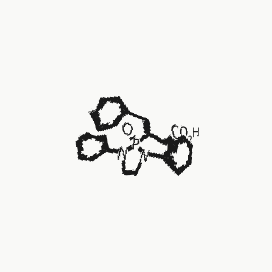 O=C(O)CC(=Cc1ccccc1)P1(=O)N(c2ccccc2)CCN1c1ccccc1